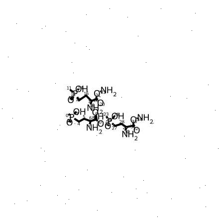 CP(=O)(O)CCC(N)C(=O)O.CP(=O)(O)CCC(N)C(=O)ON.CP(=O)(O)CCC(N)C(=O)ON